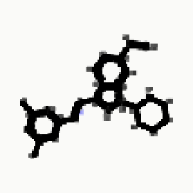 Cc1cc(C)nc(/C=C/c2nn(C3CCCCO3)c3cc(N=O)ccc23)c1